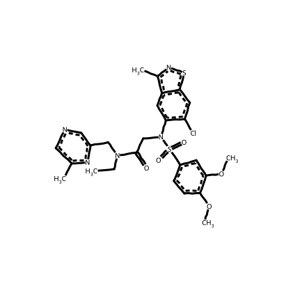 CCN(Cc1cncc(C)n1)C(=O)CN(c1cc2c(C)nsc2cc1Cl)S(=O)(=O)c1ccc(OC)c(OC)c1